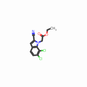 CCOC(=O)Cn1c(C#N)cc2ccc(Cl)c(Cl)c21